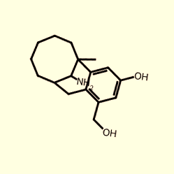 CC12CCCCCC(Cc3c(CO)cc(O)cc31)C2N